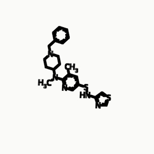 Cc1cc(SNc2cscn2)cnc1N(C)C1CCN(Cc2ccccc2)CC1